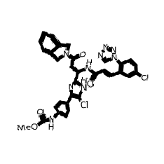 COC(=O)Nc1ccc(-c2nc(C(CC(=O)N3Cc4ccccc4C3)NC(=O)/C=C/c3cc(Cl)ccc3-n3cnnn3)[nH]c2Cl)cc1